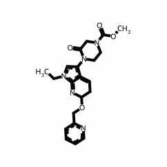 CCn1cc(N2CCN(C(=O)OC)CC2=O)c2c1=NC(OCc1ccccn1)CC=2